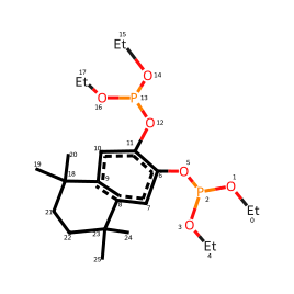 CCOP(OCC)Oc1cc2c(cc1OP(OCC)OCC)C(C)(C)CCC2(C)C